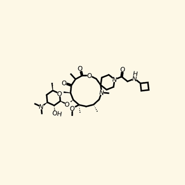 CO[C@]1(C)C[C@@H](C)CN(C)C2(CCN(C(=O)CNC3CCC3)CC2)COC(=O)C(C)C(=O)[C@H](C)[C@H]1O[C@@H]1O[C@H](C)C[C@H](N(C)C)[C@H]1O